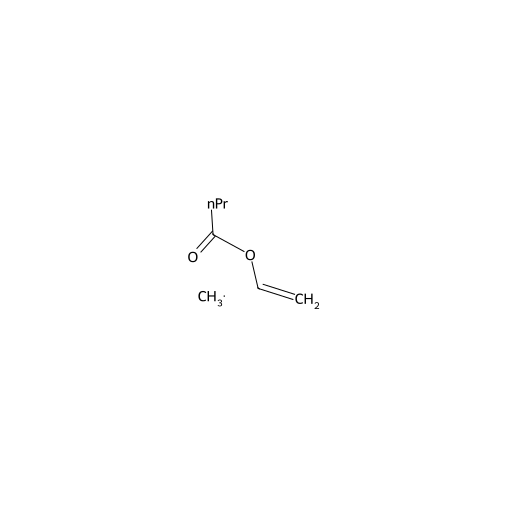 C=COC(=O)CCC.[CH3]